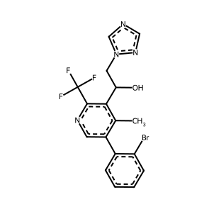 Cc1c(-c2ccccc2Br)cnc(C(F)(F)F)c1C(O)Cn1cncn1